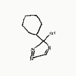 SC1(C2CCCCC2)N=CN=N1